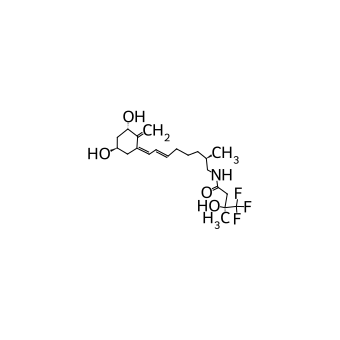 C=C1/C(=C\C=C\CCC[C@@H](C)CNC(=O)C[C@](C)(O)C(F)(F)F)C[C@@H](O)C[C@@H]1O